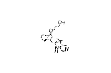 O=C(Cc1cn(OCCCO)c2ccccc12)Nc1ccncc1F